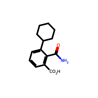 NC(=O)c1c(C(=O)O)cccc1C1CCCCC1